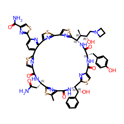 Cc1sc2nc1C(=O)N[C@@H]([C@H](O)c1ccccc1)c1nc(cs1)C(=O)N[C@@H](Cc1ccc(O)cc1)C(=O)N[C@@H]([C@@H](C)[C@@H](O)CN1CCC1)c1nc(cs1)-c1nc(cs1)-c1nc(-c3nc(C(N)=O)cs3)ccc1-c1nc(cs1)C(=O)N[C@H]2CC(N)=O